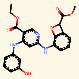 CCOC(=O)c1cnc(Nc2cccc3c2OC3C(=O)OC)cc1Nc1cccc(O)c1